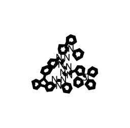 c1ccc(C2c3ccccc3-c3ccc4c(nc5n(-c6nc(-c7cccc([Si](c8ccccc8)(c8ccccc8)c8ccccc8)c7)nc(-n7c8ccccc8n8c9ccc%10c%11ccccc%11n(-c%11ccccc%11)c%10c9nc78)n6)c6ccccc6n45)c32)cc1